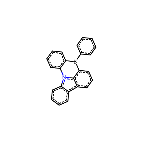 c1ccc(B2c3ccccc3-n3c4ccccc4c4cccc2c43)cc1